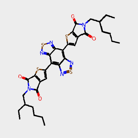 CCCCC(CC)CN1C(=O)c2cc(-c3c4c(c(-c5cc6c(s5)C(=O)N(CC(CC)CCCC)C6=O)c5nsnc35)N=S=N4)sc2C1=O